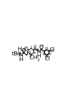 CC1CC2(CC(C)N1CC(=O)NC(C)(C)C)CC2NC(=O)c1cc(Cl)cc(Cl)c1